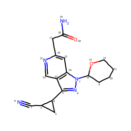 N#CC1CC1c1nn(C2CCCCO2)c2cc(CC(N)=O)ncc12